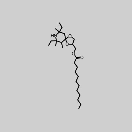 CCCCCCCCCCCC(=O)OCC1COC2(CC(C)(CC)NC(C)(CC)C2C)O1